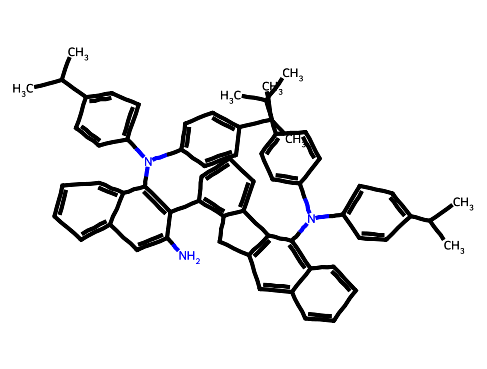 CC(C)c1ccc(N(c2ccc(C(C)C)cc2)c2c(-c3cccc4c3Cc3cc5ccccc5c(N(c5ccc(C(C)C)cc5)c5ccc(C(C)C)cc5)c3-4)c(N)cc3ccccc23)cc1